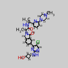 C[C@H](C(=O)N[C@H](C)c1cccc(N2CCN(C)CC2)n1)N1Cc2ccc(-c3nc(N[C@H]4C[C@H](O)C4)ncc3Cl)cc2C1=O